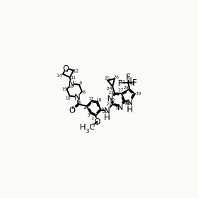 COc1cc(C(=O)N2CCN(C3COC3)CC2)ccc1Nc1nc(C2CC2)c2c(C(F)(F)F)c[nH]c2n1